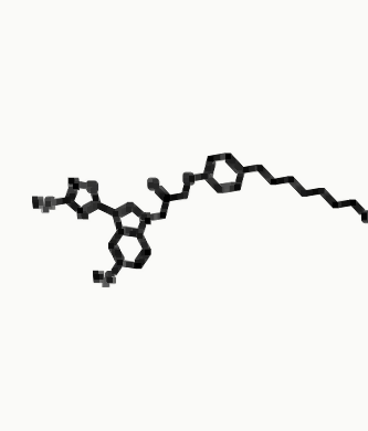 CCCCCCCCc1ccc(OCC(=O)Cn2cc(-c3nc(C)no3)c3cc(C)ccc32)cc1